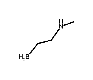 BCCNC